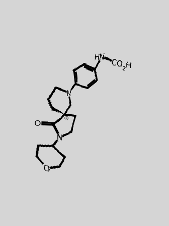 O=C(O)Nc1ccc(N2CCC[C@]3(CCN(C4CCOCC4)C3=O)C2)cc1